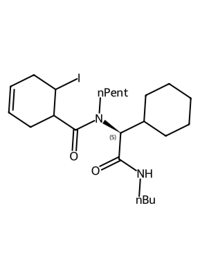 CCCCCN(C(=O)C1CC=CCC1I)[C@H](C(=O)NCCCC)C1CCCCC1